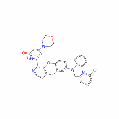 O=c1cc(N2CCOCC2)cc(-c2nccc3c2Oc2ccc(N(Cc4cccc(Cl)n4)c4ccccc4)cc2C3)[nH]1